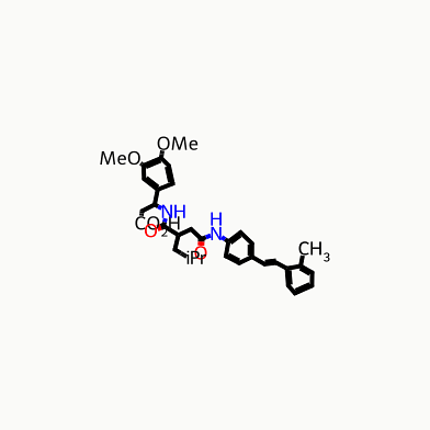 COc1ccc(C(CC(=O)O)NC(=O)C(CC(=O)Nc2ccc(/C=C/c3ccccc3C)cc2)CC(C)C)cc1OC